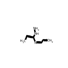 C=C/C=N\C(=C/C)NN